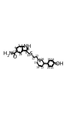 NC(=O)c1ccc2[nH]cc(CSCCN3CC=CC(c4ccc(O)cc4)C3)c2c1